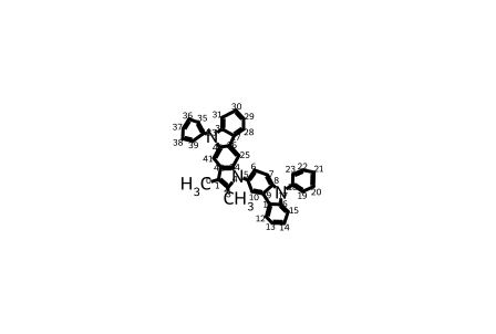 Cc1c(C)n(-c2ccc3c(c2)c2ccccc2n3-c2ccccc2)c2cc3c4ccccc4n(-c4ccccc4)c3cc12